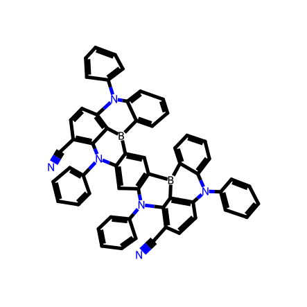 N#Cc1ccc2c3c1N(c1ccccc1)c1cc4c(cc1B3c1ccccc1N2c1ccccc1)B1c2ccccc2N(c2ccccc2)c2ccc(C#N)c(c21)N4c1ccccc1